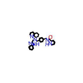 O=C(NCc1ccc(CN(Cc2nc3ccccc3[nH]2)C2CCCc3cccnc32)cc1)c1ccccn1